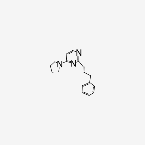 C(=Cc1nccc(N2CCCC2)n1)Cc1ccccc1